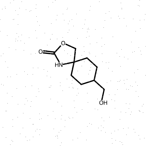 O=C1NC2(CCC(CO)CC2)CO1